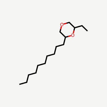 CCCCCCCCCCC1COCC(CC)O1